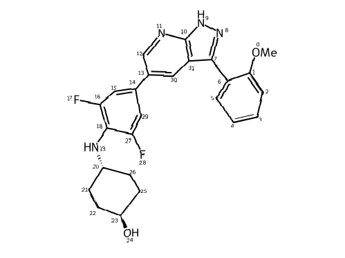 COc1ccccc1-c1n[nH]c2ncc(-c3cc(F)c(N[C@H]4CC[C@H](O)CC4)c(F)c3)cc12